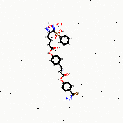 NC(=S)c1ccc(OC(=O)/C=C/c2ccc(OC(=O)CCCc3no[n+](O)c3S(=O)(=O)c3ccccc3)cc2)cc1